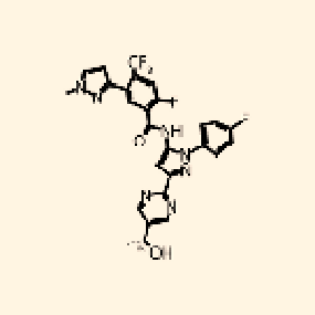 C[C@@H](O)c1cnc(-c2cc(NC(=O)c3cc(-c4ccn(C)n4)c(C(F)(F)F)cc3F)n(-c3ccc(F)cc3)n2)nc1